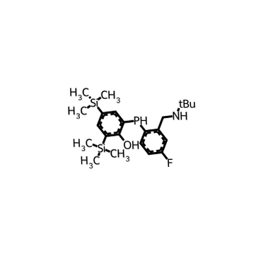 CC(C)(C)NCc1cc(F)ccc1Pc1cc([Si](C)(C)C)cc([Si](C)(C)C)c1O